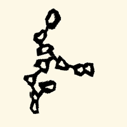 c1ccc(-c2cccc(-c3ccc(N(c4ccc(-c5cccc(-c6oc7ccccc7c6-c6ccccc6)c5)cc4)c4ccc(-c5ccc6ccccc6c5)cc4)cc3)c2)cc1